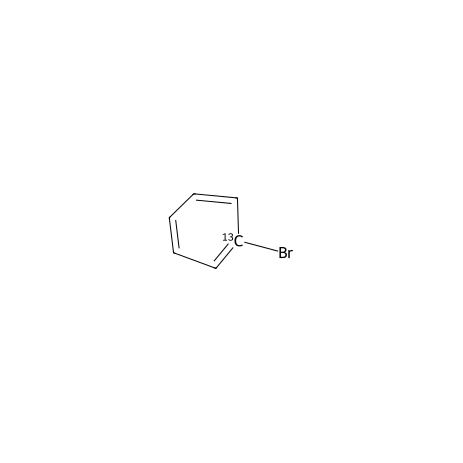 Br[13c]1ccccc1